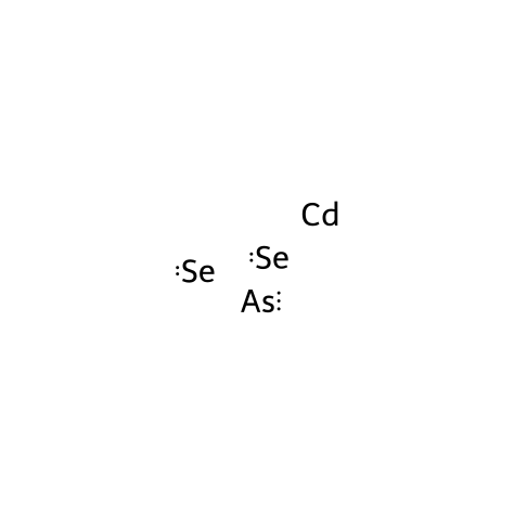 [As].[Cd].[Se].[Se]